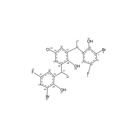 CC(c1cc(F)cc(Br)c1O)c1cc(Cl)cc(C(C)c2cc(F)cc(Br)c2O)c1O